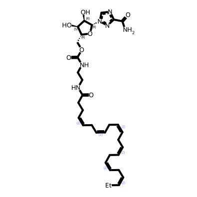 CC/C=C\C/C=C\C/C=C\C/C=C\C/C=C\C/C=C\CCC(=O)NCCNC(=O)OC[C@H]1O[C@@H](n2cnc(C(N)=O)n2)[C@H](O)[C@@H]1O